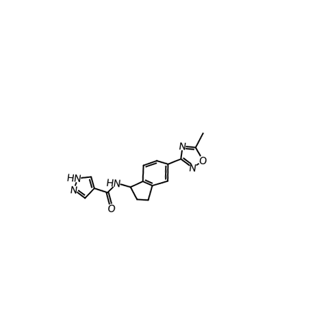 Cc1nc(-c2ccc3c(c2)CCC3NC(=O)c2cn[nH]c2)no1